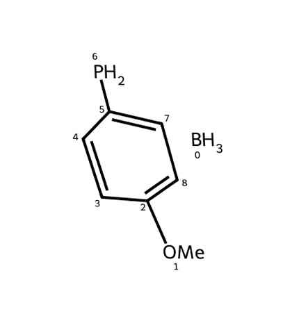 B.COc1ccc(P)cc1